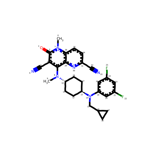 Cn1c(=O)c(C#N)c(N(C)[C@H]2CC[C@H](N(CC3CC3)c3cc(F)cc(F)c3)CC2)c2nc(C#N)ccc21